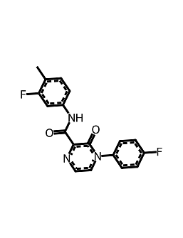 Cc1ccc(NC(=O)c2nccn(-c3ccc(F)cc3)c2=O)cc1F